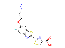 CNCCCOc1cc2sc(C3=N[C@@H](C(=O)O)CS3)nc2cc1F